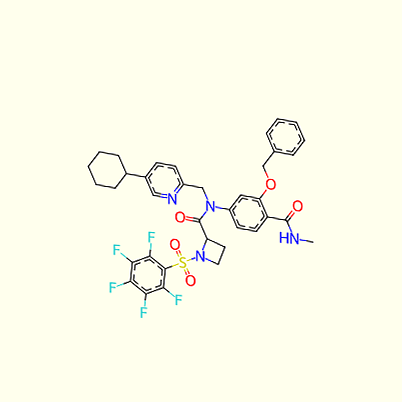 CNC(=O)c1ccc(N(Cc2ccc(C3CCCCC3)cn2)C(=O)C2CCN2S(=O)(=O)c2c(F)c(F)c(F)c(F)c2F)cc1OCc1ccccc1